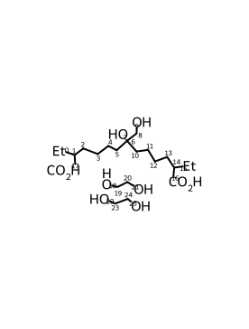 CCC(CCCCC(O)(CO)CCCCC(CC)C(=O)O)C(=O)O.OCCO.OCCO